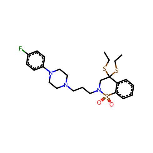 CCSC1(SCC)CN(CCCN2CCN(c3ccc(F)cc3)CC2)S(=O)(=O)c2ccccc21